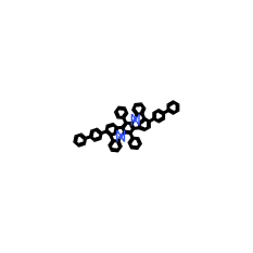 c1ccc(-c2ccc(-c3ccc4c5c(-c6ccccc6)c6c(c(-c7ccccc7)c5n5c7ccccc7c3c45)c3ccc(-c4ccc(-c5ccccc5)cc4)c4c5ccccc5n6c34)cc2)cc1